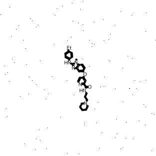 CCc1ccc(Nc2nc3cc(Oc4ccnc(C(=O)NCCCN5CCCCC5)c4)ccc3n2C)cc1